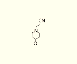 N#CCCN1CCC(=O)CC1